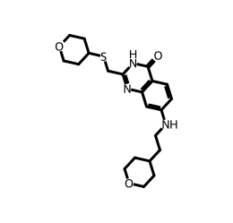 O=c1[nH]c(CSC2CCOCC2)nc2cc(NCCC3CCOCC3)ccc12